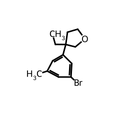 CCC1(c2cc(C)cc(Br)c2)CCOC1